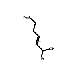 CCCCCCC/C=C/C(O)C(C)C